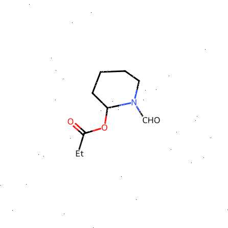 CCC(=O)OC1CCCCN1C=O